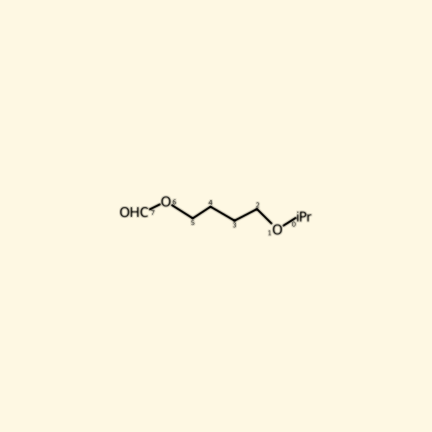 CC(C)OCCCCOC=O